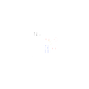 O=S(=O)([O-])Nc1cccc2c1CCC2.[Na+]